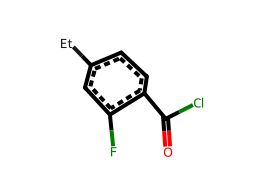 CCc1ccc(C(=O)Cl)c(F)c1